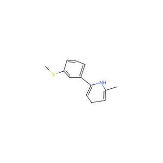 CSc1cccc(C2=CCC=C(C)N2)c1